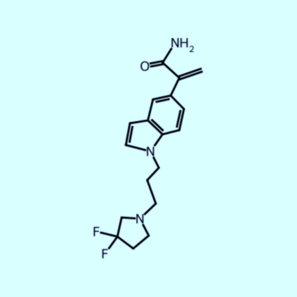 C=C(C(N)=O)c1ccc2c(ccn2CCCN2CCC(F)(F)C2)c1